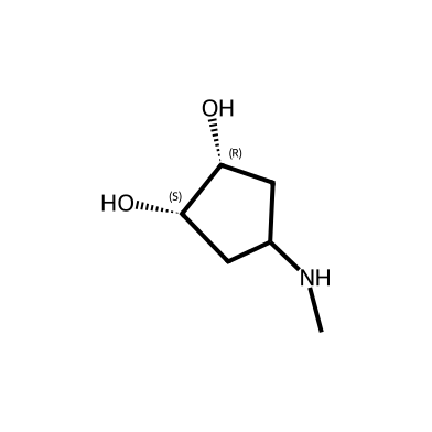 CNC1C[C@@H](O)[C@@H](O)C1